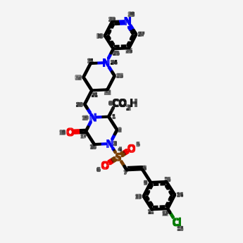 O=C(O)C1CN(S(=O)(=O)C=Cc2ccc(Cl)cc2)CC(=O)N1CC1CCN(c2ccncc2)CC1